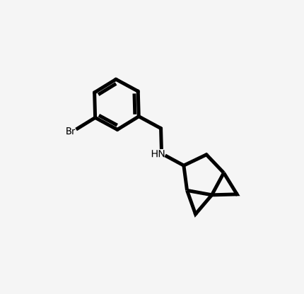 Brc1cccc(CNC2CC3CC34CC24)c1